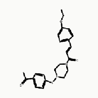 CCOc1ccc(/C=C/C(=O)N2CCN(Sc3ccc(C(C)=O)cc3)CC2)cc1